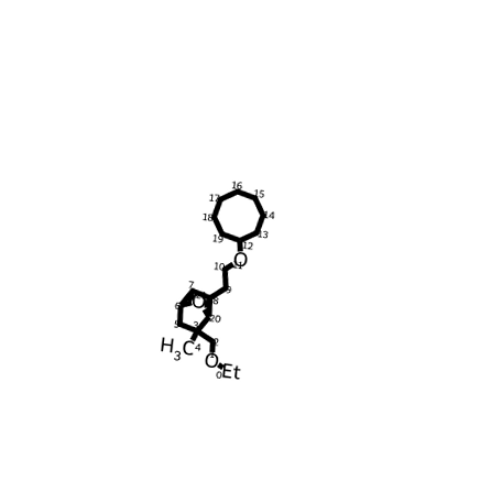 CCOCC1(C)Cc2cc(CCOC3CCCCCCC3)c1o2